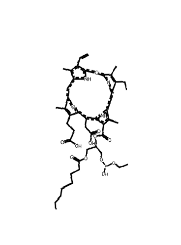 C=Cc1c(C)c2cc3nc(c(CC(=O)O)c4[nH]c(cc5nc(cc1[nH]2)C(C)=C5CC)c(C)c4C(=O)OC(COC(=O)CCCCCCC)COP(O)OCC)C(CCC(=O)O)=C3C